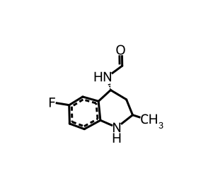 CC1C[C@@H](NC=O)c2cc(F)ccc2N1